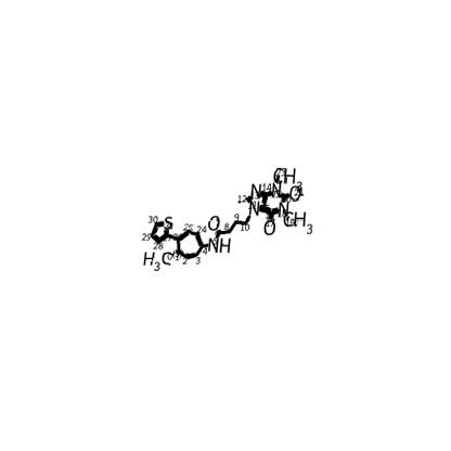 C[C@H]1C=CC(NC(=O)CCCn2cnc3c2c(=O)n(C)c(=O)n3C)=CC=C1c1cccs1